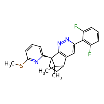 CSc1cccc([C@@]23CCC(c4cc(-c5c(F)cccc5F)nnc42)C3(C)C)n1